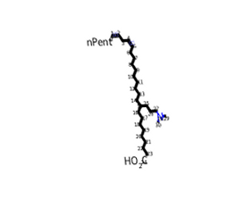 CCCCC/C=C\C/C=C\CCCCCCCCCC(CCCCCCCCC(=O)O)CCCN(C)C